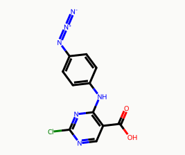 [N-]=[N+]=Nc1ccc(Nc2nc(Cl)ncc2C(=O)O)cc1